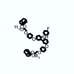 CC1(OC(=O)COc2ccc(Oc3ccc4c(c3)-c3cc(Oc5ccc(OCC(=O)OC6(C)C7CC8CC(C7)CC6C8)cc5)ccc3[SH]4c3ccc(F)cc3)cc2)C2CC3CC(C2)CC1C3